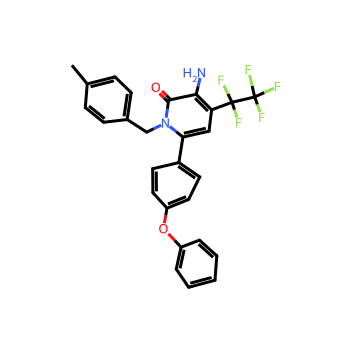 Cc1ccc(Cn2c(-c3ccc(Oc4ccccc4)cc3)cc(C(F)(F)C(F)(F)F)c(N)c2=O)cc1